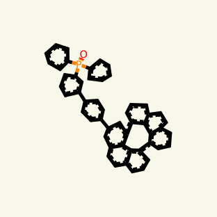 O=P(c1ccccc1)(c1ccccc1)c1cccc(-c2ccc(-c3cc4ccc5cccc6c7cccc8ccc9cccc(c(c3)c4c56)c9c87)cc2)c1